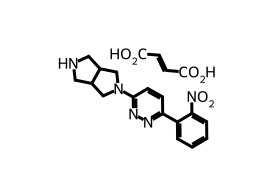 O=C(O)/C=C/C(=O)O.O=[N+]([O-])c1ccccc1-c1ccc(N2CC3CNCC3C2)nn1